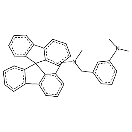 CN(Cc1cccc(N(C)C)c1)Cc1cccc2c1C1(c3ccccc3-c3ccccc31)c1ccccc1-2